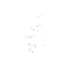 CC(C)C(=O)N[C@H]1[C@H]([C@H](O)[C@H](O)CO)OC(C)(F)C(F)[C@@H]1n1cnnn1